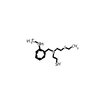 CCSCCN(CCS)Cc1ccccc1NC